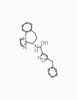 OC(N[C@H]1CCc2ccccc2-n2ccnc21)c1cc(Cc2ccccc2)on1